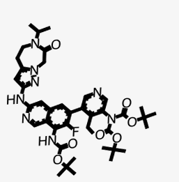 CCc1c(-c2cc3cc(Nc4cc5n(n4)CC(=O)N(C(C)C)CC5)ncc3c(NC(=O)OC(C)(C)C)c2F)cncc1N(C(=O)OC(C)(C)C)C(=O)OC(C)(C)C